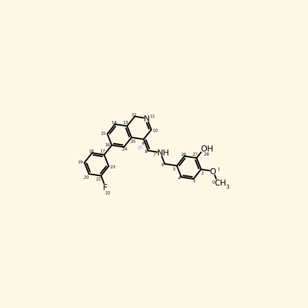 COc1ccc(CN/C=C2\C=NCc3ccc(-c4cccc(F)c4)cc32)cc1O